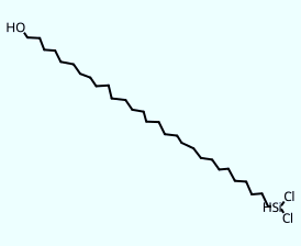 OCCCCCCCCCCCCCCCCCCCCCCCCCCCCC[SiH](Cl)Cl